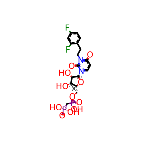 O=c1ccn([C@@H]2O[C@H](COP(=O)(O)CP(=O)(O)O)[C@H](O)C2O)c(=O)n1CCc1ccc(F)cc1F